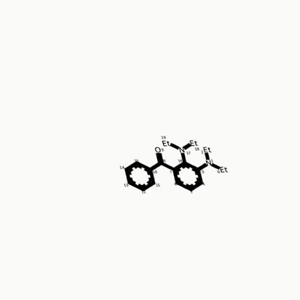 CCN(CC)c1cccc(C(=O)c2ccccc2)c1N(CC)CC